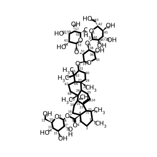 C[C@@H]1CC[C@]2(C(=O)O[C@@H]3O[C@H](CO)[C@@H](O)[C@H](O)[C@H]3O)CC[C@]3(C)C(=CCC4[C@@]5(C)CCC(O[C@@H]6OC[C@@H](O)[C@H](O[C@@H]7O[C@H](CO)[C@@H](O)[C@H](O)[C@H]7O)[C@H]6O[C@@H]6O[C@@H](C)[C@@H](O)[C@@H](O)[C@H]6O)C(C)(C)C5CC[C@]43C)C2[C@H]1C